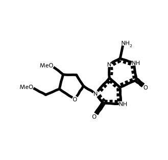 COCC1OC(n2c(=O)[nH]c3c(=O)[nH]c(N)nc32)CC1OC